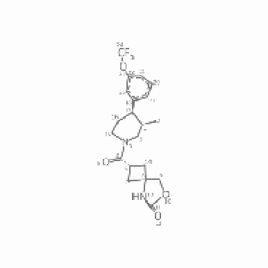 C[C@H]1CN(C(=O)[C@H]2C[C@]3(COC(=O)N3)C2)CC[C@H]1c1cccc(OC(F)(F)F)c1